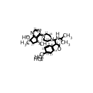 CC(C)NC(C(C=O)c1ccc(Cl)cc1)N1CCN(c2ncnc3c2[C@H](C)CC3(C)O)CC1.Cl.Cl